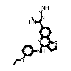 CCOc1cccc(Nc2nc3cc(/C(=N/N=N)NC)ccc3c3sccc23)c1